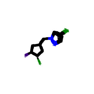 F[C@H]1CC(Cn2cc(Br)cn2)C[C@@H]1I